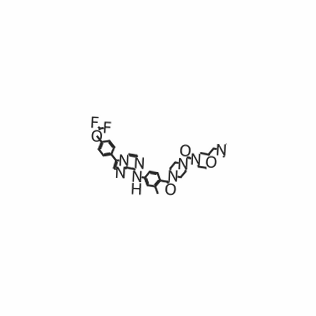 Cc1cc(Nc2nccn3c(-c4ccc(OC(F)F)cc4)cnc23)ccc1C(=O)N1CCN(C(=O)N2CCOC(CN(C)C)C2)CC1